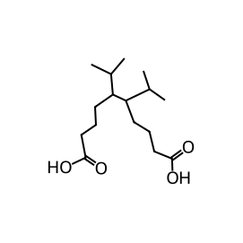 CC(C)C(CCCC(=O)O)C(CCCC(=O)O)C(C)C